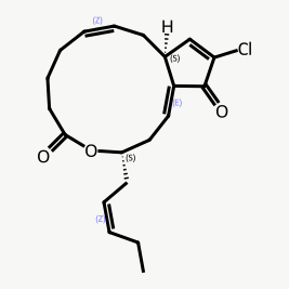 CC/C=C\C[C@H]1C/C=C2/C(=O)C(Cl)=C[C@@H]2C/C=C\CCCC(=O)O1